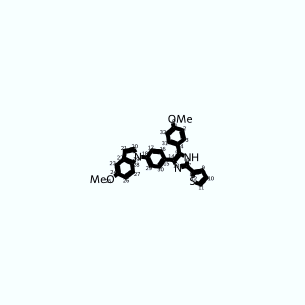 COc1ccc(-c2[nH]c(-c3cccs3)nc2-c2ccc(-n3ccc4cc(OC)ccc43)cc2)cc1